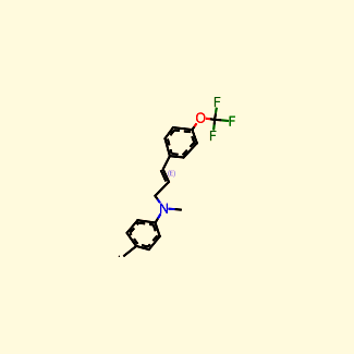 [CH2]c1ccc(N(C)C/C=C/c2ccc(OC(F)(F)F)cc2)cc1